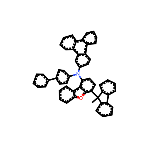 CC1(c2ccc(N(c3ccc(-c4ccccc4)cc3)c3ccc4c5ccccc5c5ccccc5c4c3)c3c2oc2ccccc23)c2ccccc2-c2ccccc21